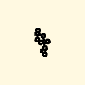 CC1(C)c2ccccc2-c2ccc(-c3c4ccccc4c(-c4cccc(-n5c(-c6ccccc6)nc6ccccc65)c4)c4ccccc34)cc21